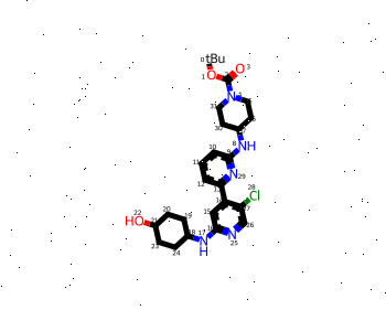 CC(C)(C)OC(=O)N1CCC(Nc2cccc(-c3cc(NC4CCC(O)CC4)ncc3Cl)n2)CC1